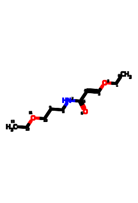 CCOC=CC(=O)NCCCOCC